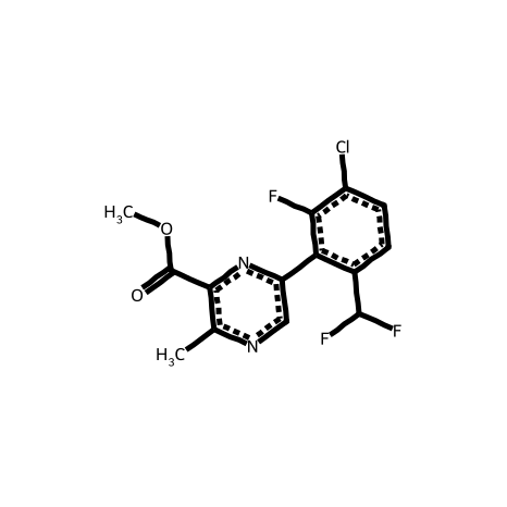 COC(=O)c1nc(-c2c(C(F)F)ccc(Cl)c2F)cnc1C